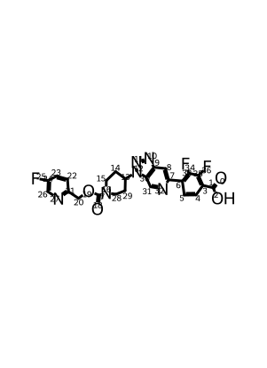 O=C(O)c1ccc(-c2cc3nnn(C4CCN(C(=O)OCc5ccc(F)cn5)CC4)c3cn2)c(F)c1F